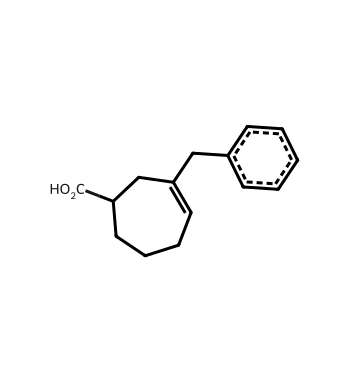 O=C(O)C1CCCC=C(Cc2ccccc2)C1